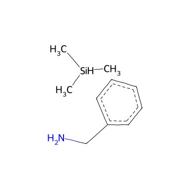 C[SiH](C)C.NCc1ccccc1